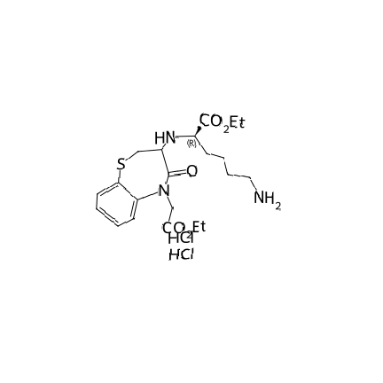 CCOC(=O)CN1C(=O)C(N[C@H](CCCCN)C(=O)OCC)CSc2ccccc21.Cl.Cl